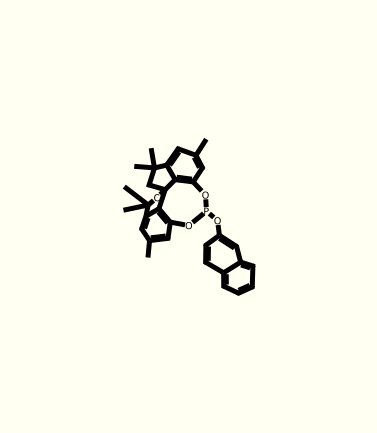 Cc1cc2c3c(c1)C(C)(C)CC31CC(C)(C)c3cc(C)cc(c31)OP(Oc1ccc3ccccc3c1)O2